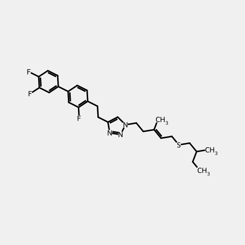 CCC(C)CSC/C=C(\C)CCn1cc(CCc2ccc(-c3ccc(F)c(F)c3)cc2F)nn1